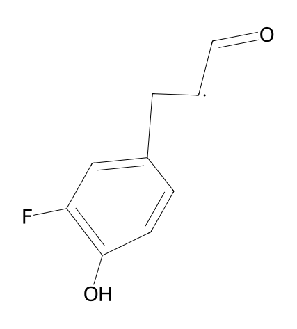 O=C[CH]Cc1ccc(O)c(F)c1